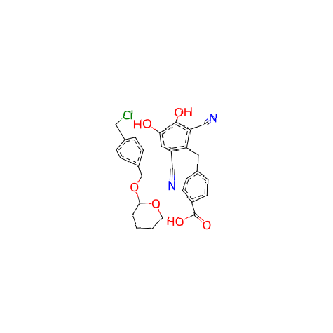 ClCc1ccc(COC2CCCCO2)cc1.N#Cc1cc(O)c(O)c(C#N)c1Cc1ccc(C(=O)O)cc1